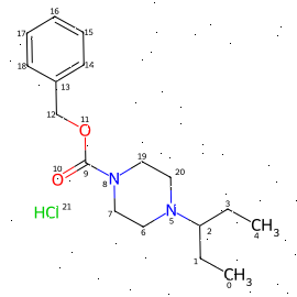 CCC(CC)N1CCN(C(=O)OCc2ccccc2)CC1.Cl